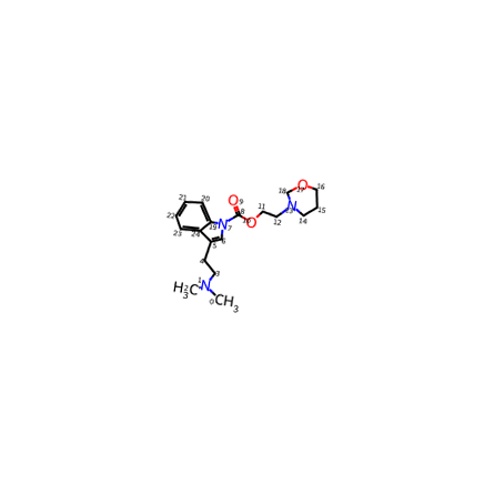 CN(C)CCc1cn(C(=O)OCCN2CCCOC2)c2ccccc12